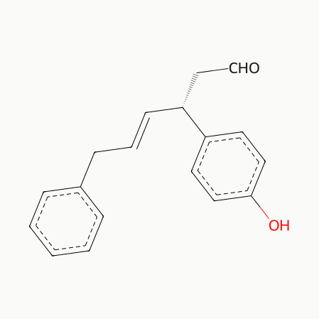 O=CC[C@@H](/C=C/Cc1ccccc1)c1ccc(O)cc1